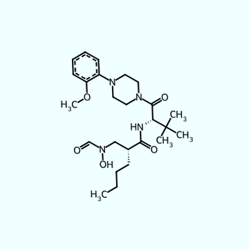 CCCC[C@H](CN(O)C=O)C(=O)N[C@H](C(=O)N1CCN(c2ccccc2OC)CC1)C(C)(C)C